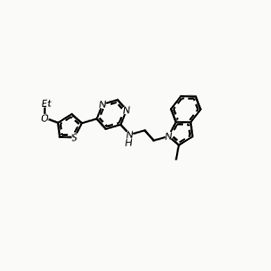 CCOc1csc(-c2cc(NCCn3c(C)cc4ccccc43)ncn2)c1